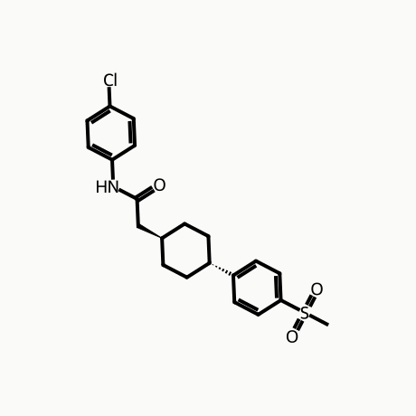 CS(=O)(=O)c1ccc([C@H]2CC[C@H](CC(=O)Nc3ccc(Cl)cc3)CC2)cc1